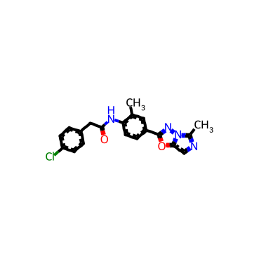 Cc1cc(-c2nn3c(C)ncc3o2)ccc1NC(=O)Cc1ccc(Cl)cc1